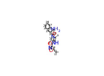 C[C@H]1C[C@H](NC(=O)c2cc(C3CC3)on2)CCN1C(=O)CC(CN)Cc1ccccc1